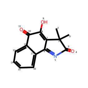 CC1(C)C(=O)N=C2C1=C(O)C(=O)c1ccccc12